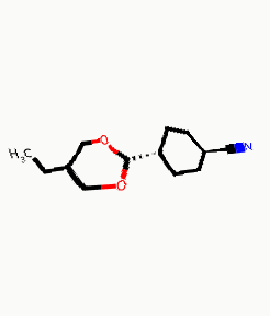 CCC1COC([C@H]2CC[C@H](C#N)CC2)OC1